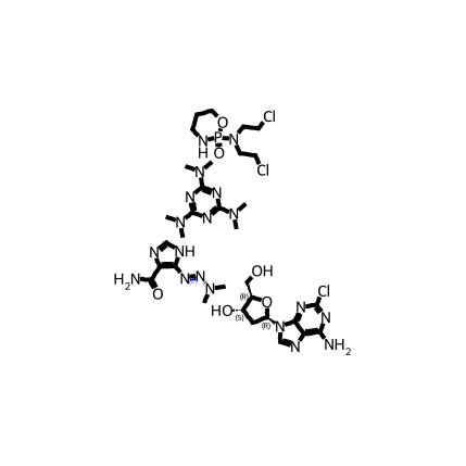 CN(C)/N=N/c1[nH]cnc1C(N)=O.CN(C)c1nc(N(C)C)nc(N(C)C)n1.Nc1nc(Cl)nc2c1ncn2[C@H]1C[C@H](O)[C@@H](CO)O1.O=P1(N(CCCl)CCCl)NCCCO1